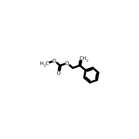 C=C(COC(=O)OC)c1ccccc1